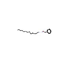 CCCCCCCCCCCCNC(=O)Cc1ccccc1